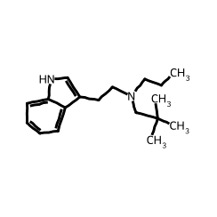 CCCN(CCc1c[nH]c2ccccc12)CC(C)(C)C